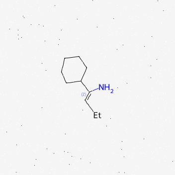 CC/C=C(\N)C1CCCCC1